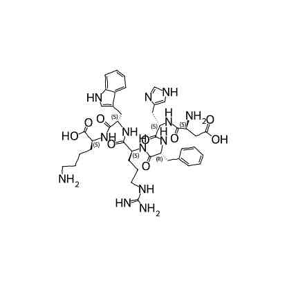 N=C(N)NCCC[C@H](NC(=O)[C@@H](Cc1ccccc1)NC(=O)[C@H](Cc1c[nH]cn1)NC(=O)[C@@H](N)CC(=O)O)C(=O)N[C@@H](Cc1c[nH]c2ccccc12)C(=O)N[C@@H](CCCCN)C(=O)O